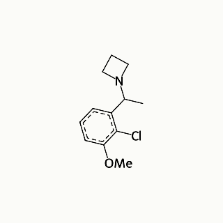 COc1cccc(C(C)N2CCC2)c1Cl